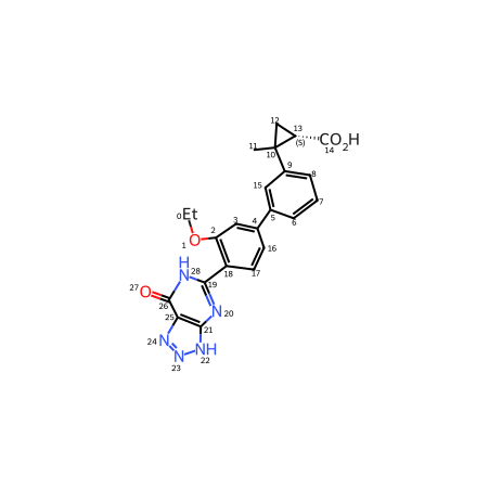 CCOc1cc(-c2cccc(C3(C)C[C@@H]3C(=O)O)c2)ccc1-c1nc2[nH]nnc2c(=O)[nH]1